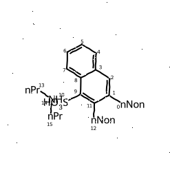 CCCCCCCCCc1cc2ccccc2c(S(=O)(=O)O)c1CCCCCCCCC.CCCNCCC